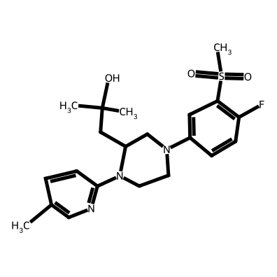 Cc1ccc(N2CCN(c3ccc(F)c(S(C)(=O)=O)c3)CC2CC(C)(C)O)nc1